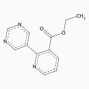 CCOC(=O)c1cccnc1-c1cncnc1